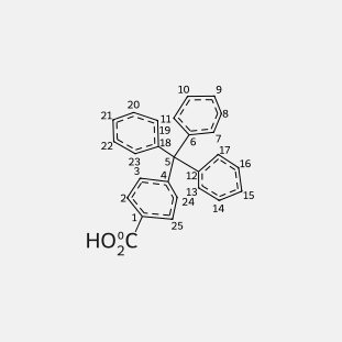 O=C(O)c1ccc(C(c2ccccc2)(c2ccccc2)c2ccccc2)cc1